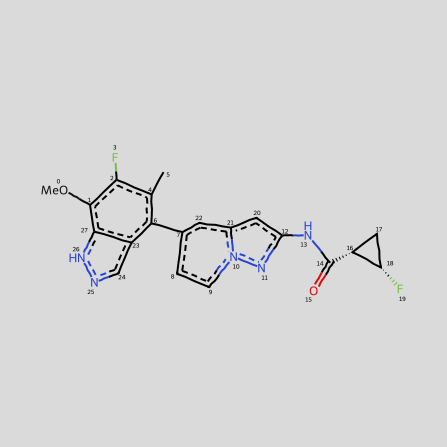 COc1c(F)c(C)c(-c2ccn3nc(NC(=O)[C@@H]4C[C@@H]4F)cc3c2)c2cn[nH]c12